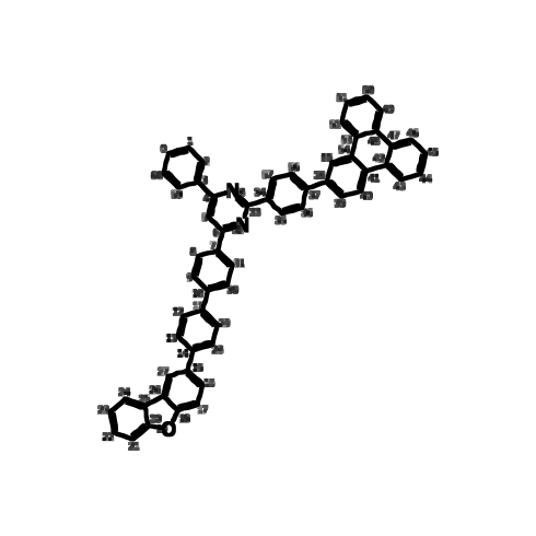 c1ccc(-c2cc(-c3ccc(-c4ccc(-c5ccc6oc7ccccc7c6c5)cc4)cc3)nc(-c3ccc(-c4ccc5c6ccccc6c6ccccc6c5c4)cc3)n2)cc1